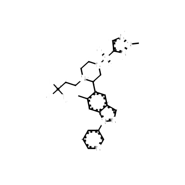 Cc1cc2c(cnn2-c2cccnc2)cc1C1CN(S(=O)(=O)c2cnn(C)n2)CCN1CCC(F)(F)F